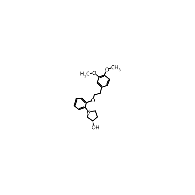 COc1ccc(CCOc2ccccc2N2CC[C@@H](O)C2)cc1OC